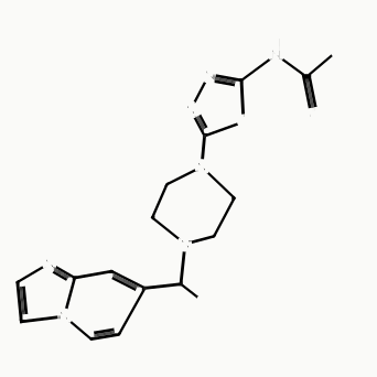 CC(=O)Nc1nnc(N2CCN(C(C)c3ccn4ccnc4c3)CC2)s1